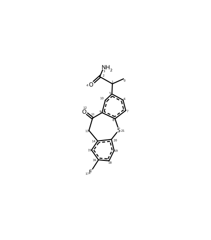 CC(C(N)=O)c1ccc2c(c1)C(=O)Cc1cc(F)ccc1S2